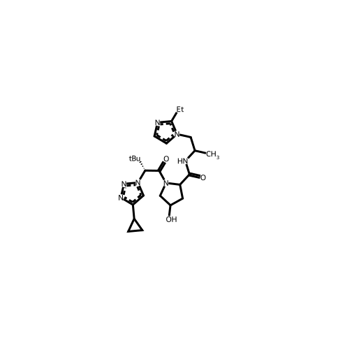 CCc1nccn1CC(C)NC(=O)C1CC(O)CN1C(=O)[C@H](n1cc(C2CC2)nn1)C(C)(C)C